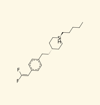 CCCCC[Si@H]1CC[C@H](CCc2ccc(C=C(F)F)cc2)CC1